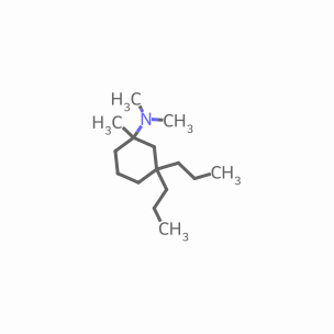 CCCC1(CCC)CCCC(C)(N(C)C)C1